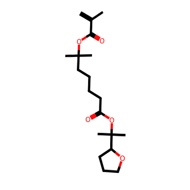 C=C(C)C(=O)OC(C)(C)CCCCC(=O)OC(C)(C)C1CCCO1